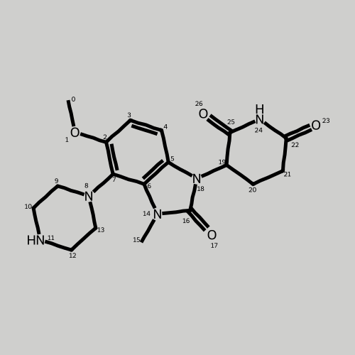 COc1ccc2c(c1N1CCNCC1)n(C)c(=O)n2C1CCC(=O)NC1=O